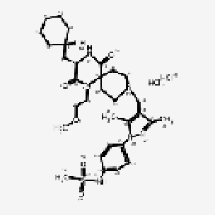 COCCN1C(=O)[C@@H](CC2(O)CCCCC2)NC(=O)C12CCN(Cc1c(C)nn(-c3ccc(NS(C)(=O)=O)cc3)c1C)CC2.Cl.Cl